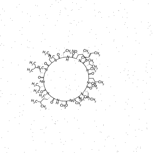 C=CCC1C(=O)N(C)[C@@H](CCC(C)C)C(=O)N[C@@H](C(C)C)C(=O)N(C)[C@@H](CCC(C)C)C(=O)N[C@@H](C)C(=O)N[C@H](C)C(=O)N(C)[C@@H](CC(C)C)C(=O)N(C)C(CC(C)C)C(=O)N(C)[C@@H](C(C)C)C(=O)N(C)[C@@H]([C@H](O)[C@H](C)C/C=C/C)C(=O)N[C@@H](CC)C(=O)N1C